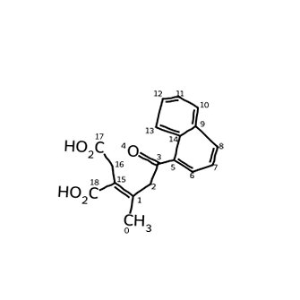 CC(CC(=O)c1cccc2ccccc12)=C(CC(=O)O)C(=O)O